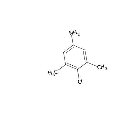 Cc1cc(N)cc(C)c1Cl